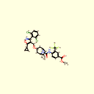 COC(=O)c1ccc(NC(=O)N2C3C[C@H](OCc4c(-c5c(Cl)cccc5Cl)noc4C4CC4)CC2[C@H](C)C3)c(C(F)(F)F)c1